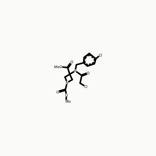 COC(=O)C1(N(Cc2ccc(Cl)cc2)C(=O)CCl)CN(C(=O)OC(C)(C)C)C1